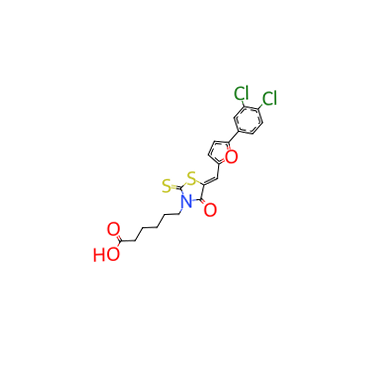 O=C(O)CCCCCN1C(=O)C(=Cc2ccc(-c3ccc(Cl)c(Cl)c3)o2)SC1=S